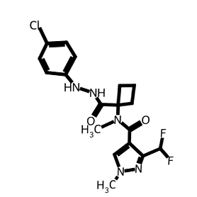 CN(C(=O)c1cn(C)nc1C(F)F)C1(C(=O)NNc2ccc(Cl)cc2)CCC1